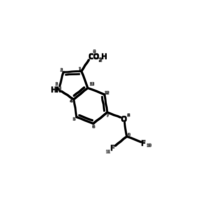 O=C(O)c1c[nH]c2ccc(OC(F)F)cc12